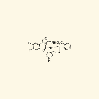 CCOC(=O)c1ccccc1[C@H]1CC[C@@H]([C@]2(NC(=O)N3C(=O)OC[C@@H]3c3ccc(F)c(F)c3)CCNC2)CC1